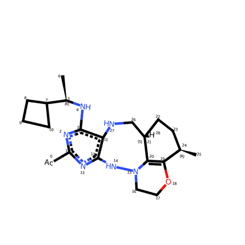 CC(=O)c1nc(N[C@H](C)C2CCC2)c2c(n1)NN1CCOC3=C1[C@@H](CC[C@H]3C)CN2